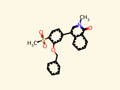 Cn1cc(-c2ccc(S(C)(=O)=O)c(OCc3ccccc3)c2)c2ccccc2c1=O